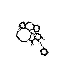 O=C1c2c(OCc3ccccc3)c(=O)ccn2N2CN1CC/C=C\COc1cccc3c1C2c1ccccc1SC3